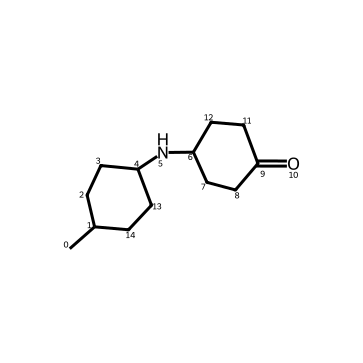 CC1CCC(NC2CCC(=O)CC2)CC1